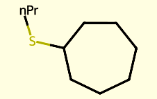 [CH2]CCSC1CCCCCC1